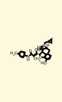 C/C(C(=O)Nc1ccc(C)cc1)=C(/O)[C@@H]1Oc2c(O)ccc3c2[C@@]12CCN(CC1CC1)[C@H](C3)[C@@]2(C)O